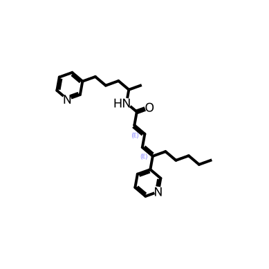 CCCCC/C(=C\C=C\C(=O)NC(C)CCCc1cccnc1)c1cccnc1